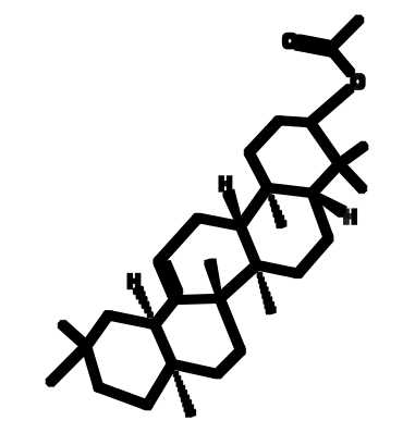 CC(=O)OC1CC[C@]2(C)[C@H]3CC=C4[C@@H]5CC(C)(C)CC[C@]5(C)CC[C@@]4(C)[C@]3(C)CC[C@H]2C1(C)C